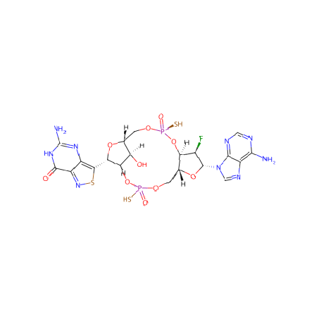 Nc1nc2c([C@@H]3O[C@@H]4CO[P@@](=O)(S)O[C@H]5[C@@H](F)[C@H](n6cnc7c(N)ncnc76)O[C@@H]5COP(=O)(S)O[C@@H]3[C@@H]4O)snc2c(=O)[nH]1